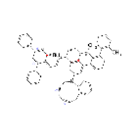 CC1=C(C2=C([C@@H](C)C3C=CC(c4ccc(/C(=C\C(=N/CN)c5ccccc5)C5C=CC=CC5)cc4)CC3)C(c3cccc(N4C/C=C\C=C/Cc5ccccc54)c3)=CCC2)CCC=C1